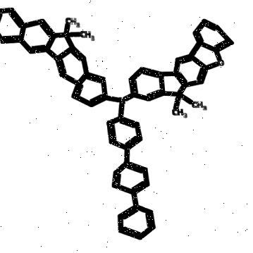 CC1(C)c2cc3ccccc3cc2-c2cc3ccc(N(c4ccc(-c5ccc(-c6ccccc6)cc5)cc4)c4ccc5c(c4)C(C)(C)c4cc6oc7ccccc7c6cc4-5)cc3cc21